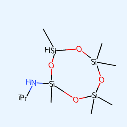 CC(C)N[Si]1(C)O[SiH](C)O[Si](C)(C)O[Si](C)(C)O1